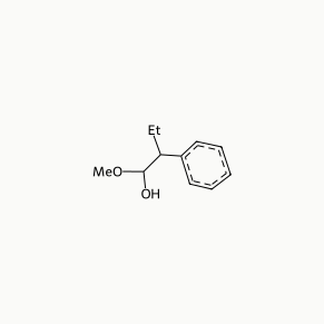 CCC(c1ccccc1)C(O)OC